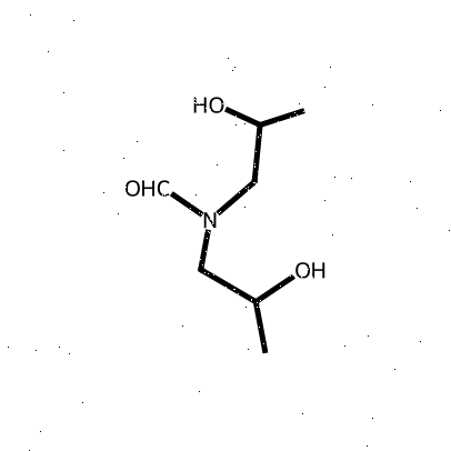 CC(O)CN(C=O)CC(C)O